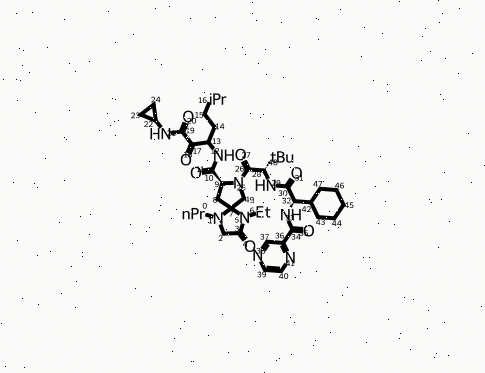 CCCN1CC(=O)N(CC)C12C[C@@H](C(=O)NC(CCC(C)C)C(=O)C(=O)NC1CC1)N(C(=O)[C@@H](NC(=O)[C@@H](NC(=O)c1cnccn1)C1CCCCC1)C(C)(C)C)C2